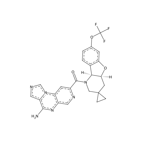 Nc1nc2cnc(C(=O)N3CC4(CC4)C[C@@H]4Oc5cc(OC(F)(F)F)ccc5[C@@H]43)cc2n2cncc12